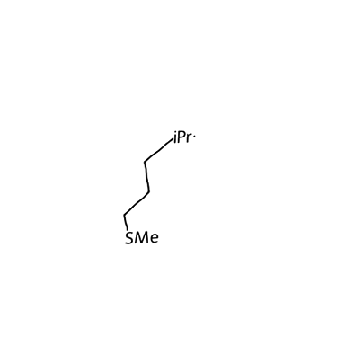 CSCCC[C](C)C